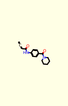 C=C=CC(=O)Nc1ccc(C(=O)N2CCCCC2)cc1